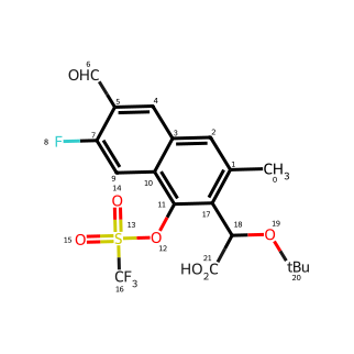 Cc1cc2cc(C=O)c(F)cc2c(OS(=O)(=O)C(F)(F)F)c1C(OC(C)(C)C)C(=O)O